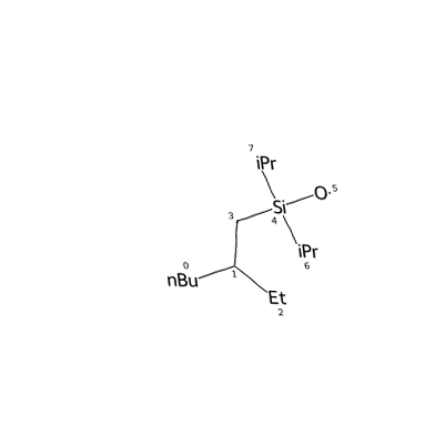 CCCCC(CC)C[Si]([O])(C(C)C)C(C)C